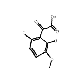 COc1ccc(F)c(C(=O)C(=O)O)c1Cl